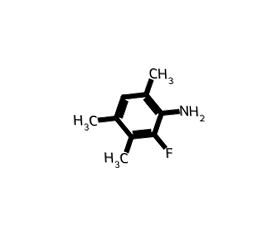 Cc1cc(C)c(N)c(F)c1C